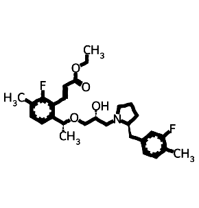 CCOC(=O)/C=C/c1c([C@@H](C)OC[C@H](O)CN2CCC[C@H]2Cc2ccc(C)c(F)c2)ccc(C)c1F